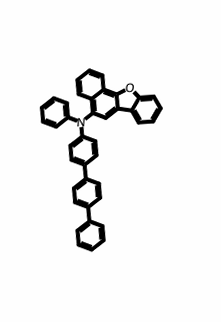 c1ccc(-c2ccc(-c3ccc(N(c4ccccc4)c4cc5c6ccccc6oc5c5ccccc45)cc3)cc2)cc1